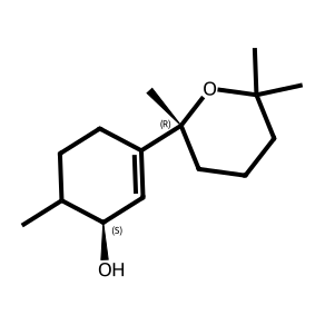 CC1CCC([C@@]2(C)CCCC(C)(C)O2)=C[C@H]1O